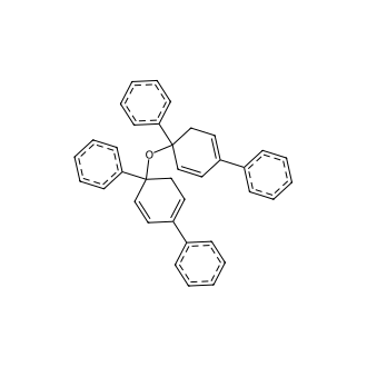 C1=CC(OC2(c3ccccc3)C=CC(c3ccccc3)=CC2)(c2ccccc2)CC=C1c1ccccc1